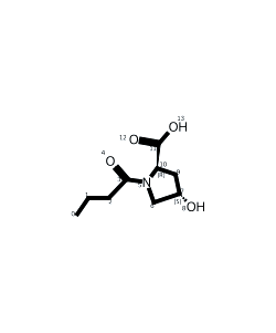 CCCC(=O)N1C[C@@H](O)C[C@@H]1C(=O)O